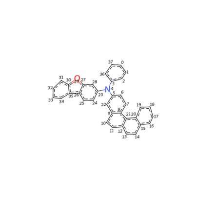 c1ccc(N(c2ccc3c(ccc4ccc5ccccc5c43)c2)c2ccc3c(c2)oc2ccccc23)cc1